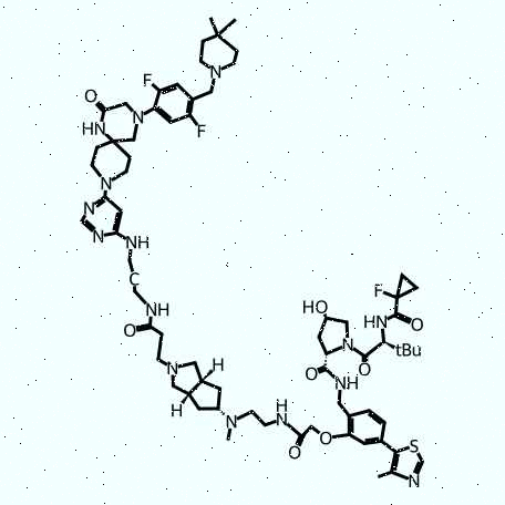 Cc1ncsc1-c1ccc(CNC(=O)[C@@H]2C[C@@H](O)CN2C(=O)[C@@H](NC(=O)C2(F)CC2)C(C)(C)C)c(OCC(=O)NCCN(C)[C@@H]2C[C@@H]3CN(CCC(=O)NCCCNc4cc(N5CCC6(CC5)CN(c5cc(F)c(CN7CCC(C)(C)CC7)cc5F)CC(=O)N6)ncn4)C[C@@H]3C2)c1